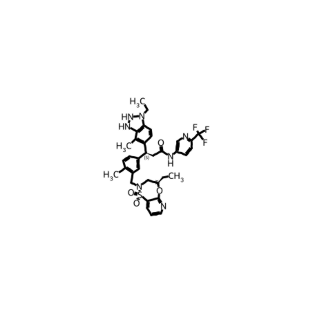 CC[C@@H]1CN(Cc2cc([C@H](CC(=O)Nc3ccc(C(F)(F)F)nc3)c3ccc4c(c3C)NNN4CC)ccc2C)S(=O)(=O)c2cccnc2O1